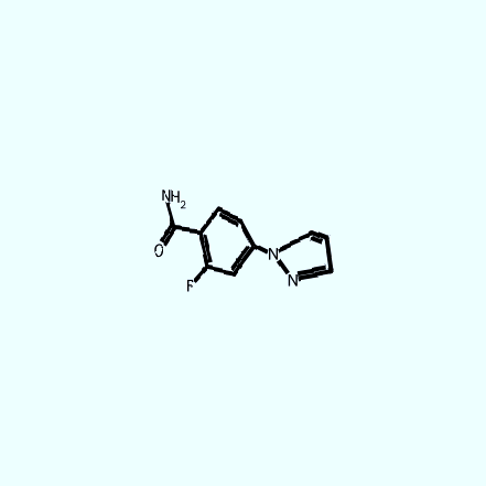 NC(=O)c1ccc(-n2cccn2)cc1F